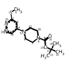 CSc1cc(N2CCN(C(=O)OC(C)(C)C)CC2)cnn1